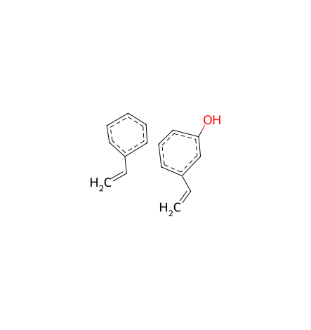 C=Cc1cccc(O)c1.C=Cc1ccccc1